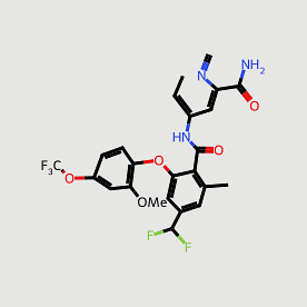 C=N/C(=C\C(=C/C)NC(=O)c1c(C)cc(C(F)F)cc1Oc1ccc(OC(F)(F)F)cc1OC)C(N)=O